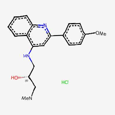 CNC[C@H](O)CNc1cc(-c2ccc(OC)cc2)nc2ccccc12.Cl